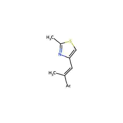 CC(=O)/C(C)=C/c1csc(C)n1